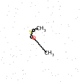 CCCCCCCCCCCCCCCCCOc1cccc(C=CC(=S)c2ccc(CCC)cc2)c1